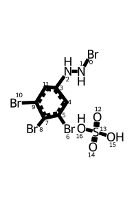 BrNNc1cc(Br)c(Br)c(Br)c1.O=S(=O)(O)O